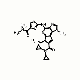 CCn1c(C(=O)N(C2CC2)C2CC2)cc2c3c(ncn3C)c(Nc3nc(C(=O)N(C)C)cs3)nc21